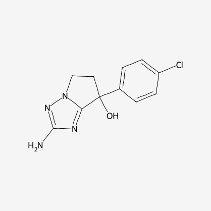 Nc1nc2n(n1)CCC2(O)c1ccc(Cl)cc1